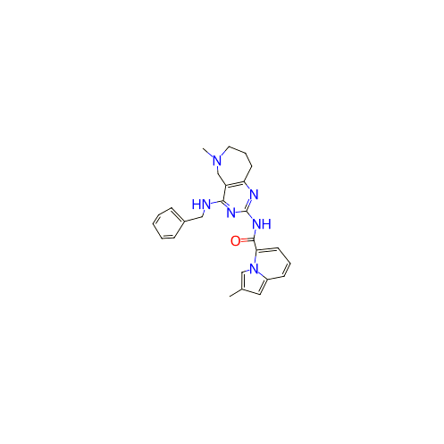 Cc1cc2cccc(C(=O)Nc3nc4c(c(NCc5ccccc5)n3)CN(C)CCC4)n2c1